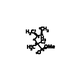 C=CC(=C)CC(C)(C)C(=O)OC